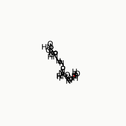 O=C1CCC(c2noc3c(NCCN4CCN(CC5CCC(n6cc(NC(=O)c7cnn8ccc(N9C[C@H]%10C[C@@H]9CO%10)nc78)c(C(F)F)n6)CC5)CC4)cccc23)C(=O)N1